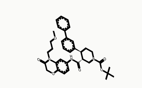 COCCCN1C(=O)COc2ccc(NC(=O)[C@H]3CN(C(=O)OC(C)(C)C)CC[C@@H]3c3cccc(-c4ccccc4)c3)cc21